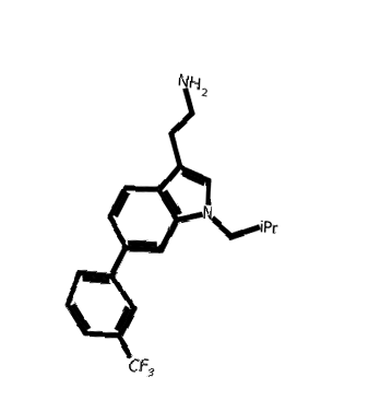 CC(C)Cn1cc(CCN)c2ccc(-c3cccc(C(F)(F)F)c3)cc21